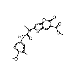 COC(=O)c1cc2sc(N(C)C(=O)Nc3ccc(OC)c(C)c3)cc2oc1=O